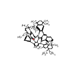 Cc1cc2c(cc1N1c3ccc4c(oc5ccccc54)c3B3c4c(cc5ccccc5c41)-c1cc4c(cc1N3c1ccc3c(c1)C(C)(C)CCC3(C)C)C(C)(C)CCC4(C)C)C(C)(C)CCC2(C)C